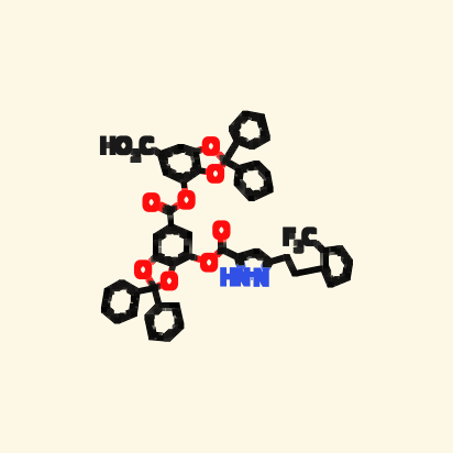 O=C(O)c1cc(OC(=O)c2cc(OC(=O)c3cc(CCc4ccccc4C(F)(F)F)n[nH]3)c3c(c2)OC(c2ccccc2)(c2ccccc2)O3)c2c(c1)OC(c1ccccc1)(c1ccccc1)O2